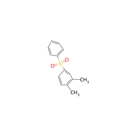 Cc1ccc(S(=O)(=O)c2ccccc2)cc1C